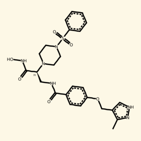 Cc1n[nH]cc1COc1ccc(C(=O)NC[C@@H](C(=O)NO)N2CCN(S(=O)(=O)c3ccccc3)CC2)cc1